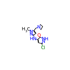 Cn1nc(Nc2cc(Cl)n[nH]c2=O)cc1CN1CCC1